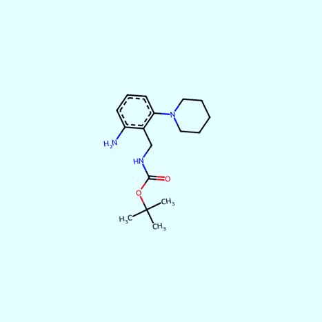 CC(C)(C)OC(=O)NCc1c(N)cccc1N1CCCCC1